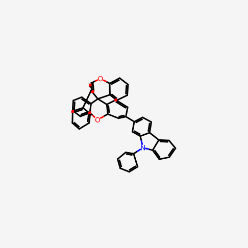 c1ccc(-c2cccc3c2C2(c4ccccc4Oc4cc(-c5ccc6c7ccccc7n(-c7ccccc7)c6c5)ccc42)c2ccccc2O3)cc1